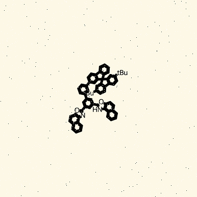 CC(C)(C)c1ccc2c(c1)C1(c3ccccc3-c3ccc(-c4cccc(-c5cc(-c6nc7c(ccc8ccccc87)o6)cc(C6Nc7c(ccc8ccccc78)O6)c5)c4)cc31)c1cc(C(C)(C)C)ccc1-2